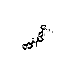 CN1CCCC1c1cn2cc(NC(=O)c3ccn4cncc4c3)ccc2n1